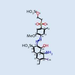 COc1cc(S(=O)(=O)CCOS(=O)(=O)O)c(C)cc1/N=N/c1c(S(=O)(=O)O)cc2cc(C)c(I)c(N)c2c1O